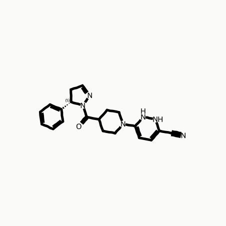 N#CC1=CC=C(N2CCC(C(=O)N3N=CC[C@H]3c3ccccc3)CC2)NN1